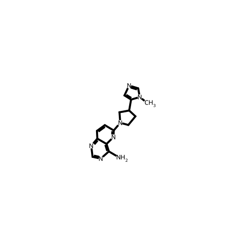 Cn1cncc1C1CCN(c2ccc3ncnc(N)c3n2)C1